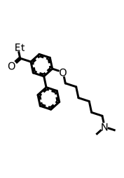 CCC(=O)c1ccc(OCCCCCCN(C)C)c(-c2ccccc2)c1